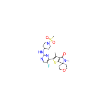 Cc1c(-c2nc(NC3CCN(S(C)(=O)=O)CC3)ncc2F)sc2c1C(=O)N(C)C21CCOCC1